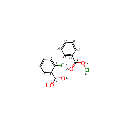 O=C(O)c1ccccc1Cl.O=C(OCl)c1ccccc1